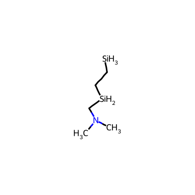 CN(C)C[SiH2]CC[SiH3]